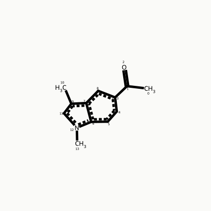 CC(=O)c1ccc2c(c1)c(C)cn2C